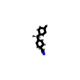 CC1CCC([C@@H](C)C2CCC(C#N)CC2)CC1